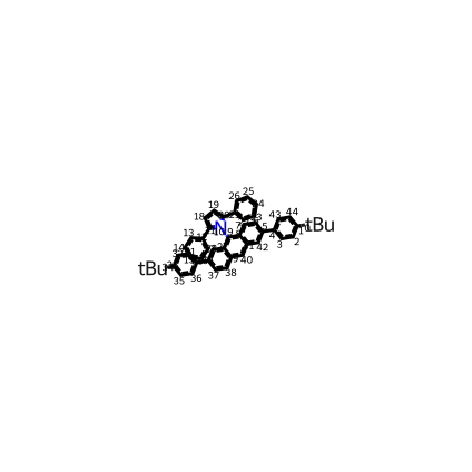 CC(C)(C)c1ccc(-c2ccc3c(-n4c(-c5ccccc5)ccc4-c4ccccc4)c4cc(-c5ccc(C(C)(C)C)cc5)ccc4cc3c2)cc1